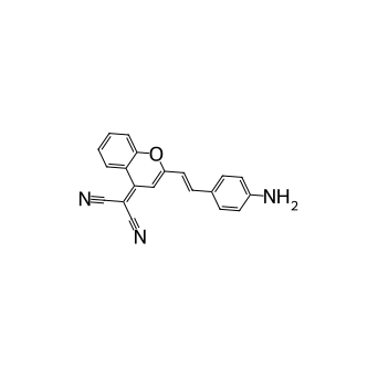 N#CC(C#N)=C1C=C(C=Cc2ccc(N)cc2)Oc2ccccc21